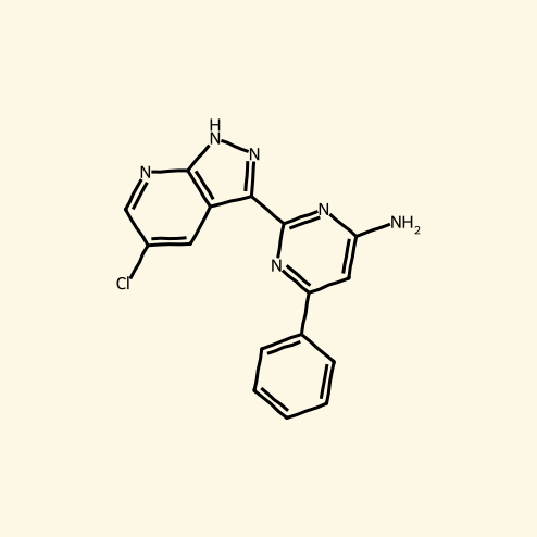 Nc1cc(-c2ccccc2)nc(-c2n[nH]c3ncc(Cl)cc23)n1